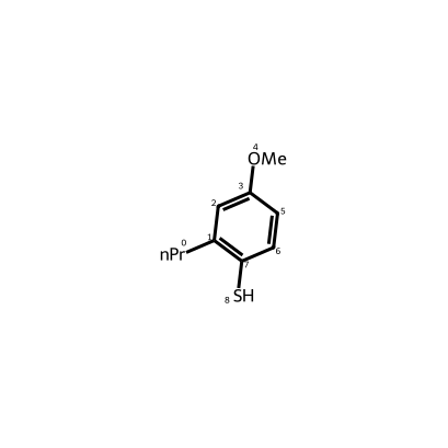 CCCc1cc(OC)ccc1S